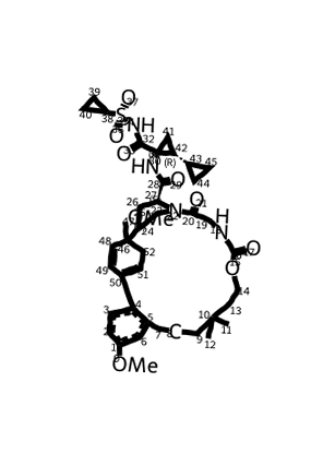 COc1ccc2c(c1)CCCC(C)(C)CCOC(=O)NCC(=O)N1C[C@@](OC)(C[C@H]1C(=O)N[C@]1(C(=O)NS(=O)(=O)C3CC3)C[C@@H]1C1CC1)C1(C)C=CC2=CC1